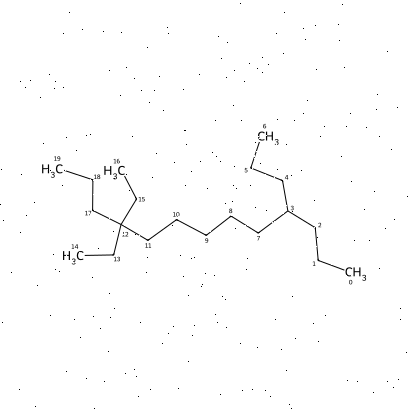 CCCC(CCC)CCCCCC(CC)(CC)CCC